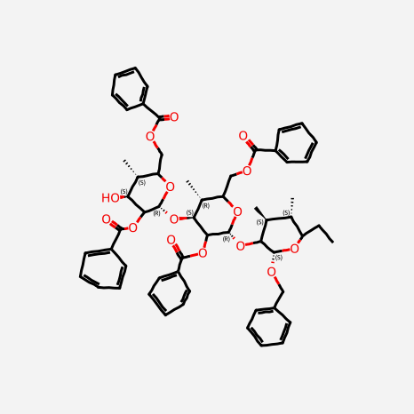 CCC1O[C@H](OCc2ccccc2)C(O[C@H]2OC(COC(=O)c3ccccc3)[C@@H](C)[C@H](O[C@H]3OC(COC(=O)c4ccccc4)[C@@H](C)[C@H](O)C3OC(=O)c3ccccc3)C2OC(=O)c2ccccc2)[C@@H](C)[C@@H]1C